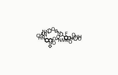 CNC(=O)COc1cc2cc(Nc3nc(N4CCC(OC5CC(N6CCC(c7ccc8c(c7F)CN([C@@H]7CCC(=O)NC7=O)C8=O)CC6)C5)CC4)ncc3Cl)ccc2n(C2CCC2)c1=O